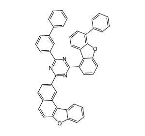 c1ccc(-c2cccc(-c3nc(-c4ccc5ccc6oc7ccccc7c6c5c4)nc(-c4cccc5oc6c(-c7ccccc7)cccc6c45)n3)c2)cc1